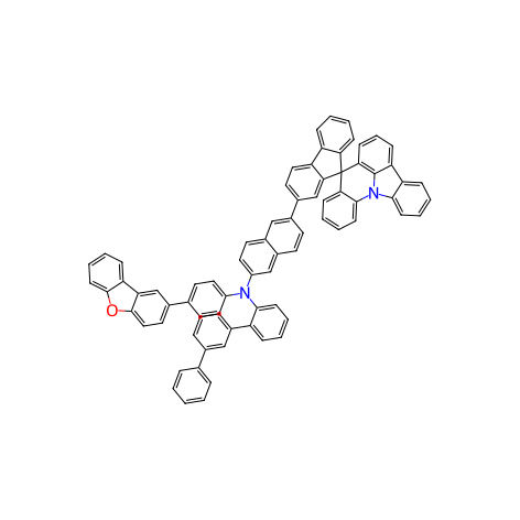 c1ccc(-c2cccc(-c3ccccc3N(c3ccc(-c4ccc5oc6ccccc6c5c4)cc3)c3ccc4cc(-c5ccc6c(c5)C5(c7ccccc7-6)c6ccccc6-n6c7ccccc7c7cccc5c76)ccc4c3)c2)cc1